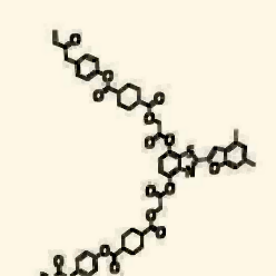 C=CC(=O)Cc1ccc(OC(=O)C2CCC(C(=O)OCC(=O)Oc3ccc(OC(=O)COC(=O)C4CCC(C(=O)Oc5ccc(CC(=O)C=C)cc5)CC4)c4sc(-c5cc6c(C)cc(C)cc6o5)nc34)CC2)cc1